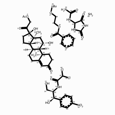 CC(=O)OCC(=O)[C@@]1(O)CC[C@H]2[C@@H]3CCC4=CC(=O)CC[C@]4(C)[C@H]3[C@@H](O)C[C@@]21C.CCCCOCCOC(=O)c1cccnc1.NC(=O)NC1NC(=O)NC1=O.O=C(N[C@H](CO)[C@H](O)c1ccc([N+](=O)[O-])cc1)C(Cl)Cl.S